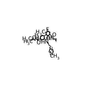 Cc1c(F)cc(C(=O)NC2CC2)cc1-c1ccc(C(=O)NCC(C)(C)C)cc1C(=O)NCCCN1CCN(C)CC1